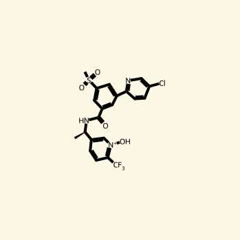 C[C@@H](NC(=O)c1cc(-c2ccc(Cl)cn2)cc(S(C)(=O)=O)c1)c1ccc(C(F)(F)F)[n+](O)c1